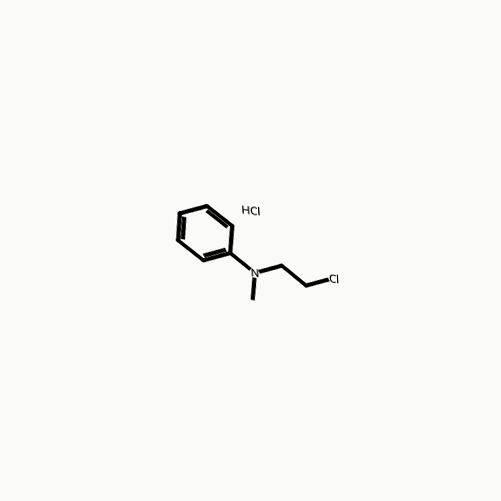 CN(CCCl)c1ccccc1.Cl